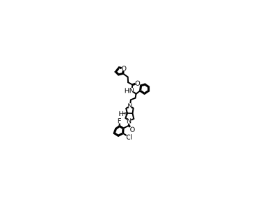 O=C(CCc1ccco1)NC(CCN1CC2CN(C(=O)c3c(F)cccc3Cl)C[C@@H]2C1)c1ccccc1